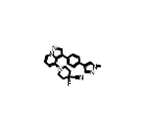 Cn1cc(-c2ccc(-c3cnn4cccc(N5CCC(F)(C#N)CC5)c34)cc2)cn1